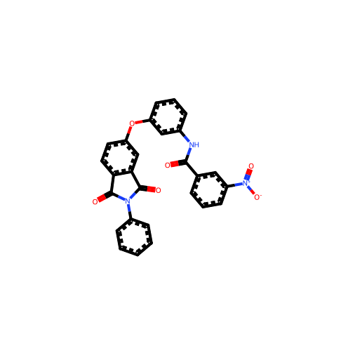 O=C(Nc1cccc(Oc2ccc3c(c2)C(=O)N(c2ccccc2)C3=O)c1)c1cccc([N+](=O)[O-])c1